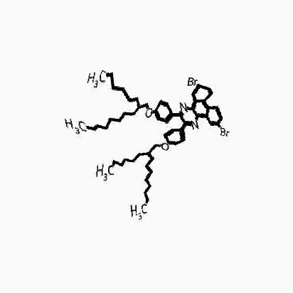 CCCCCCCCC(CCCCCC)COc1ccc(-c2nc3c4cc(Br)ccc4c4ccc(Br)cc4c3nc2-c2ccc(OCC(CCCCCC)CCCCCCCC)cc2)cc1